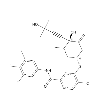 C=C1C[C@H](Sc2cc(C(=O)Nc3cc(F)c(F)c(F)c3)ccc2Cl)CC(C)[C@]1(O)C#CC(C)(C)O